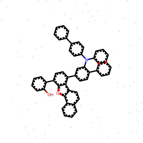 Oc1ccccc1-c1ccc(-c2ccc(-c3ccccc3)c(N(c3ccccc3)c3ccc(-c4ccccc4)cc3)c2)c2c1oc1c3ccccc3ccc12